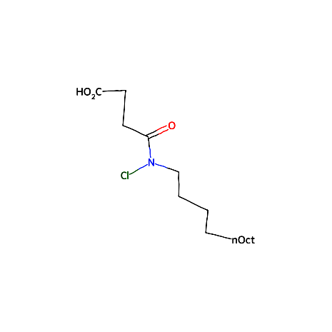 CCCCCCCCCCCCN(Cl)C(=O)CCC(=O)O